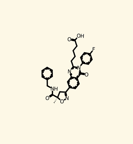 C[C@]1(C(=O)NCc2ccccc2)CC(c2ccc3c(=O)n(-c4ccc(F)cc4)c(CCCCC(=O)O)nc3c2)=NO1